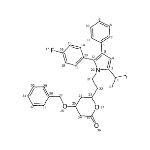 CC(C)c1cc(-c2ccccc2)c(-c2ccc(F)cc2)n1CCC1CC(OCc2ccccc2)CC(=O)O1